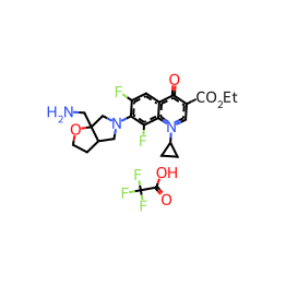 CCOC(=O)c1cn(C2CC2)c2c(F)c(N3CC4CCOC4(CN)C3)c(F)cc2c1=O.O=C(O)C(F)(F)F